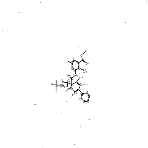 COC(=O)c1cc(C)cc(NC(=O)C2(C(C)(C)O[SiH2]C(C)(C)C)C(F)=C(F)C(c3ccccc3)=C(F)C2F)c1N